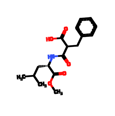 COC(=O)[C@H](CC(C)C)NC(=O)C(Cc1ccccc1)C(=O)O